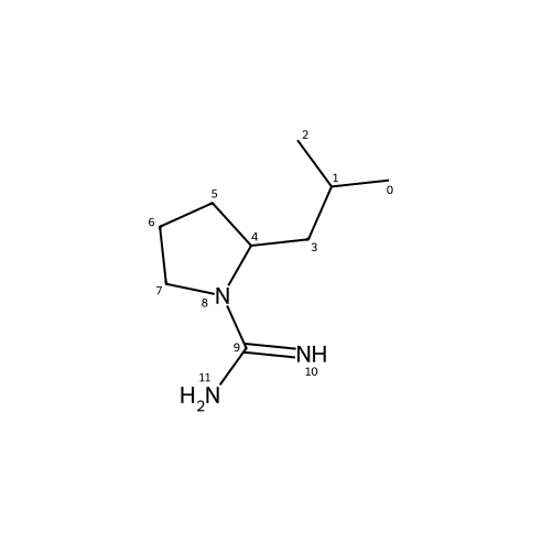 CC(C)CC1CCCN1C(=N)N